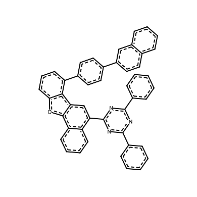 c1ccc(-c2nc(-c3ccccc3)nc(-c3cc4c(oc5cccc(-c6ccc(-c7ccc8ccccc8c7)cc6)c54)c4ccccc34)n2)cc1